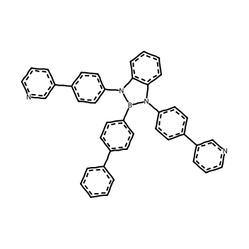 c1ccc(-c2ccc(B3N(c4ccc(-c5cccnc5)cc4)c4ccccc4N3c3ccc(-c4cccnc4)cc3)cc2)cc1